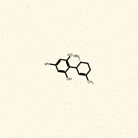 CCCC[C@@H]1CCC(C)=CC1c1c(O)cc(CCC)cc1O